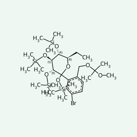 CC[C@H]1OC(O[Si](C)(C)C)(c2cc(Br)ccc2COC(C)(C)OC)[C@H](O[Si](C)(C)C)[C@@H](O[Si](C)(C)C)[C@@H]1O[Si](C)(C)C